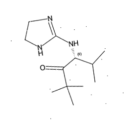 CC(C)[C@@H](NC1=NCCN1)C(=O)C(C)(C)C